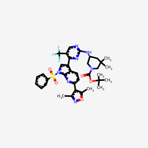 Cc1noc(C)c1-c1ccc2c(-c3nc(N[C@@H]4CN(C(=O)OC(C)(C)C)CC(C)(C)C4)ncc3C(F)(F)F)cn(S(=O)(=O)c3ccccc3)c2n1